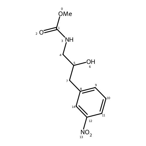 COC(=O)NCC(O)Cc1cccc([N+](=O)[O-])c1